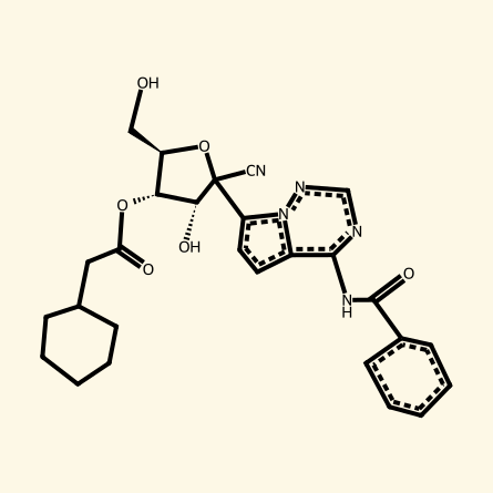 N#CC1(c2ccc3c(NC(=O)c4ccccc4)ncnn23)O[C@H](CO)[C@@H](OC(=O)CC2CCCCC2)[C@H]1O